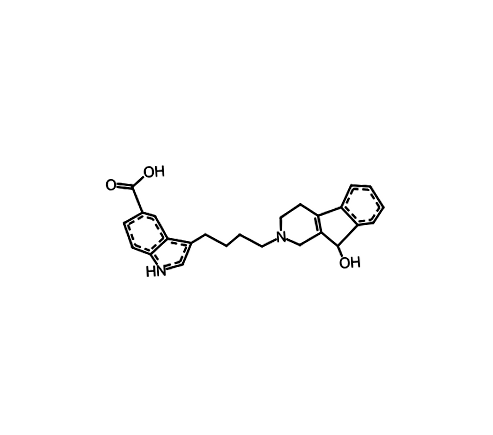 O=C(O)c1ccc2[nH]cc(CCCCN3CCC4=C(C3)C(O)c3ccccc34)c2c1